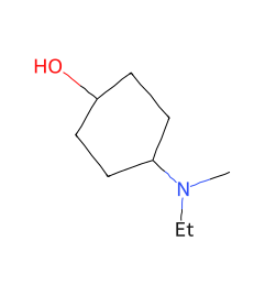 CCN(C)C1CCC(O)CC1